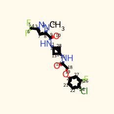 Cn1nc(C(F)F)cc1C(=O)NC12CC(NC(=O)COc3ccc(Cl)c(F)c3)(C1)C2